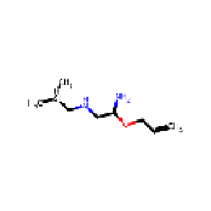 C=CCOC(N)CNC[SiH](C)C